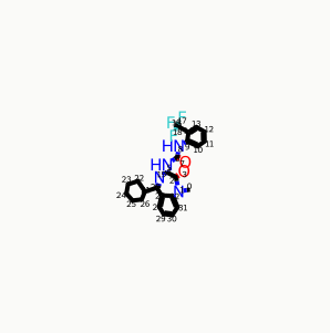 CN1C(=O)C(NC(=O)Nc2ccccc2C(F)(F)F)N=C(C2CCCCC2)c2ccccc21